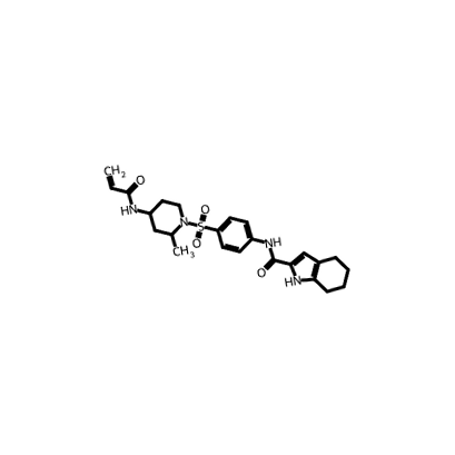 C=CC(=O)NC1CCN(S(=O)(=O)c2ccc(NC(=O)c3cc4c([nH]3)CCCC4)cc2)C(C)C1